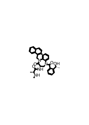 CN[C@@H](C)C(=O)N[C@H]1CN(C(=O)c2ccccc2[C@@H](C)O)c2ccccc2N(Cc2c(C)ccc3ccccc23)C1=O